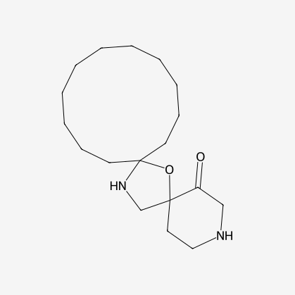 O=C1CNCCC12CNC1(CCCCCCCCCCC1)O2